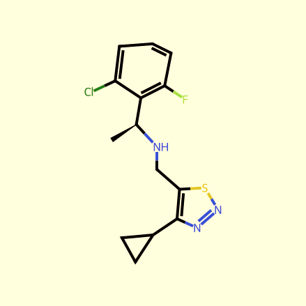 C[C@H](NCc1snnc1C1CC1)c1c(F)cccc1Cl